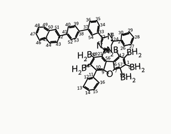 Bc1c(B)c(B)c2c(oc3c(-c4ccccc4)c(B)c(B)c(-c4nc(-c5ccccc5)nc(-c5cccc(-c6ccc(-c7ccc8ccccc8c7)cc6)c5)n4)c32)c1B